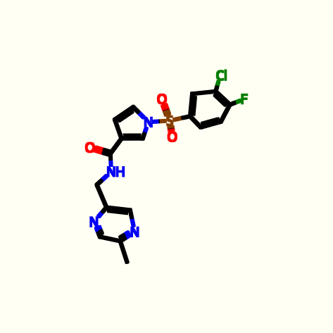 Cc1cnc(CNC(=O)c2ccn(S(=O)(=O)c3ccc(F)c(Cl)c3)c2)cn1